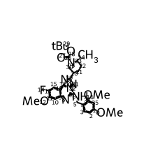 COc1ccc(CNc2nc3cc(OC)c(F)cc3c3nc(C4CCC(C)N(C(=O)OC(C)(C)C)C4)nn23)c(OC)c1